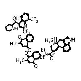 CC1=CC(=O)c2ccccc2C1=O.CC1=CC(=O)c2ccccc2C1=O.CCN(CC)C(=O)[C@@H]1C=C2c3cccc4[nH]cc(c34)C[C@H]2N(C)C1.OC(c1cc(C(F)(F)F)nc2c(C(F)(F)F)cccc12)C1CCCCN1